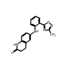 Cc1noc(-c2ccccc2Nc2ccc3c(c2)CCC(=O)N3)n1